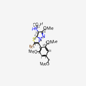 COCc1cc(OC)c(-c2c(Br)sc3c(NC(=O)O)c(OC)nn23)c(OC)c1